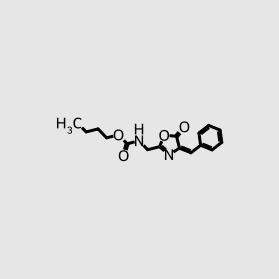 CCCCOC(=O)NCC1=NC(=Cc2ccccc2)C(=O)O1